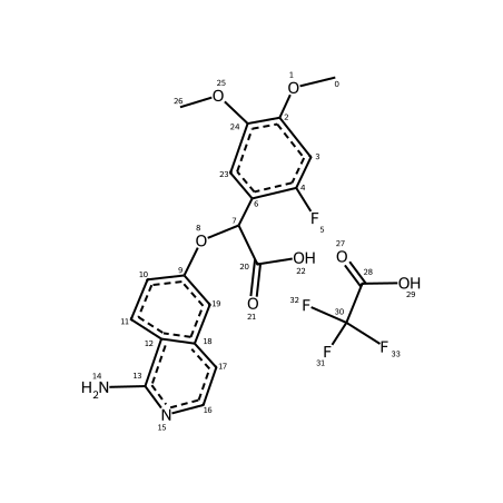 COc1cc(F)c(C(Oc2ccc3c(N)nccc3c2)C(=O)O)cc1OC.O=C(O)C(F)(F)F